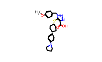 COc1ccc(Cn2nnc(C(=O)O)c2S[C@H]2CC[C@@H](c3ccc(N4CCCC4)cc3)CC2)cc1